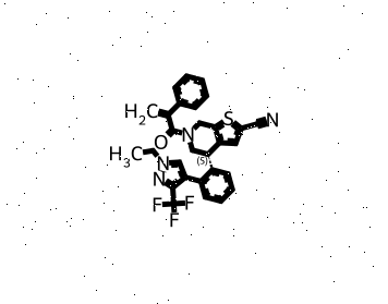 C=C(C(=O)N1Cc2sc(C#N)cc2[C@H](c2ccccc2-c2cn(CC)nc2C(F)(F)F)C1)c1ccccc1